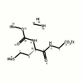 CCOC(=O)CNC(=O)[C@H](CCSC)NC(=O)OC(C)(C)C.CS.I